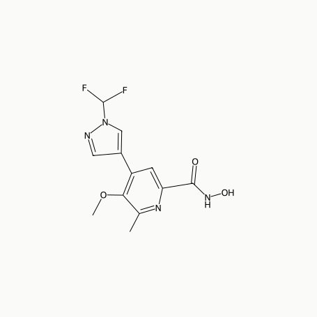 COc1c(-c2cnn(C(F)F)c2)cc(C(=O)NO)nc1C